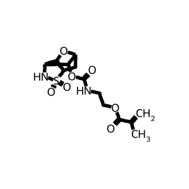 C=C(C)C(=O)OCCNC(=O)OC1C2CC3C(O2)C1NS3(=O)=O